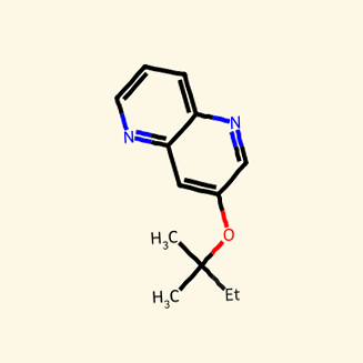 CCC(C)(C)Oc1cnc2cccnc2c1